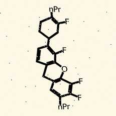 CCCC1=C(F)CC(c2ccc3c(c2F)Oc2c(cc(CCC)c(F)c2F)C3)CC1